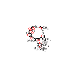 C=C1CC2CC[C@@]34CC5OC6C(O3)[C@H]3OC(CCC3O[C@H]6C5O4)CC(=O)CC3[C@H](CC4OC(CCC1O2)CC(C)C4=C)O[C@H](CC(CO[Si](C)(C)C(C)(C)C)O[Si](C)(C)C(C)(C)C)[C@@H]3OC